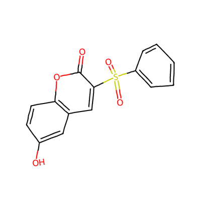 O=c1oc2ccc(O)cc2cc1S(=O)(=O)c1ccccc1